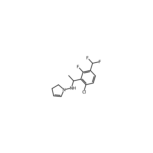 CC(NN1C=CCC1)c1c(Cl)ccc(C(F)F)c1F